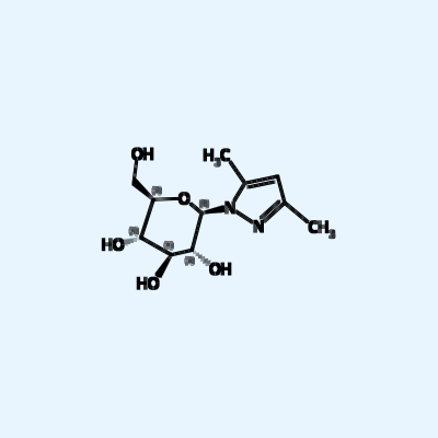 Cc1cc(C)n([C@@H]2O[C@H](CO)[C@@H](O)[C@H](O)[C@H]2O)n1